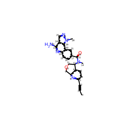 CC#Cc1ccc2c(n1)COCC2N(C)C(=O)c1ccc2nc(N)c3cnn(C)c3c2c1